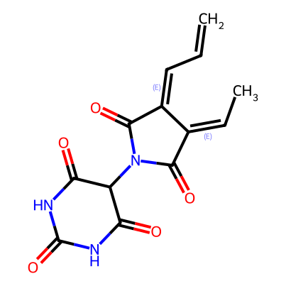 C=C/C=C1/C(=O)N(C2C(=O)NC(=O)NC2=O)C(=O)/C1=C/C